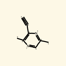 C#Cc1nc(C)cnc1C